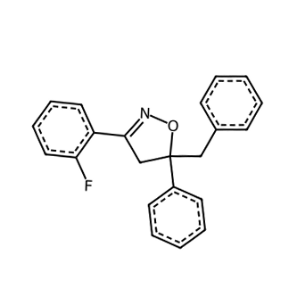 Fc1ccccc1C1=NOC(Cc2ccccc2)(c2ccccc2)C1